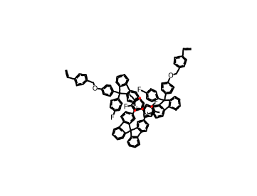 C=Cc1ccc(COc2ccc(C3(c4ccc(F)cc4)c4ccccc4-c4ccc(N(c5ccc(C)c(F)c5)c5ccc6c(c5)C5(c7ccccc7-6)c6ccccc6-c6ccc(N(c7ccc(C)c(F)c7)c7ccc8c(c7)C(c7ccc(F)cc7)(c7ccc(OCc9ccc(C=C)cc9)cc7)c7ccccc7-8)cc65)cc43)cc2)cc1